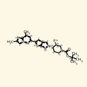 Cc1cn2nc(-c3cc4cn([C@H]5CCN(C(=O)OC(C)(C)C)C[C@@H]5F)nc4s3)cc(C)c2n1